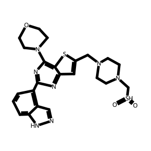 O=[SH](=O)CN1CCN(Cc2cc3nc(-c4cccc5[nH]ncc45)nc(N4CCOCC4)c3s2)CC1